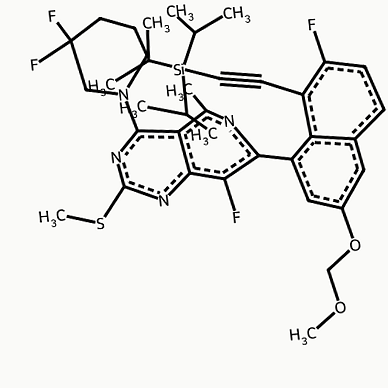 COCOc1cc(-c2nc(C)c3c(N4CCCC(F)(F)C4)nc(SC)nc3c2F)c2c(C#C[Si](C(C)C)(C(C)C)C(C)C)c(F)ccc2c1